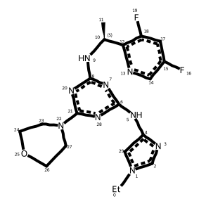 CCn1cnc(Nc2nc(N[C@@H](C)c3ncc(F)cc3F)nc(N3CCOCC3)n2)c1